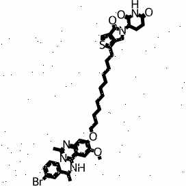 COc1cc2c(NC(C)c3cccc(Br)c3)nc(C)nc2cc1OCCCCCCCCCCCCc1scc2c1CN(C1CCC(=O)NC1=O)C2=O